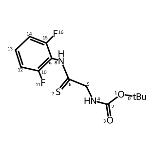 CC(C)(C)OC(=O)NCC(=S)Nc1c(F)cccc1F